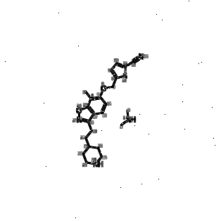 CNC.Cc1c(OCc2ccc(C#N)s2)ccc2c(CCC3CCNCC3)noc12